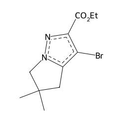 CCOC(=O)c1nn2c(c1Br)CC(C)(C)C2